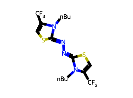 CCCCn1c(C(F)(F)F)csc1=NN=c1scc(C(F)(F)F)n1CCCC